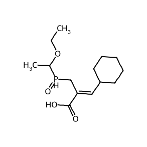 CCOC(C)[PH](=O)CC(=CC1CCCCC1)C(=O)O